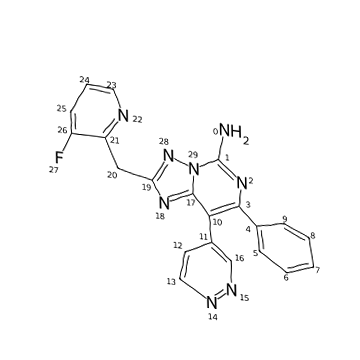 Nc1nc(-c2ccccc2)c(-c2ccnnc2)c2nc(Cc3ncccc3F)nn12